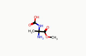 COC(=O)C(C)(N)NC(=O)O